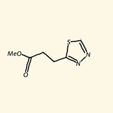 COC(=O)CCc1nn[c]s1